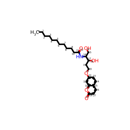 CCCCCCCCCCCC(=O)NC(CO)C(O)CCOc1ccc2ccc(=O)oc2c1